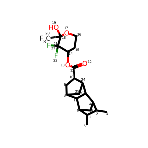 CC1C(C)C2CC1C1C3CC(C(=O)OC4CCOC(O)(C(F)(F)F)C4(F)F)C(C3)C21